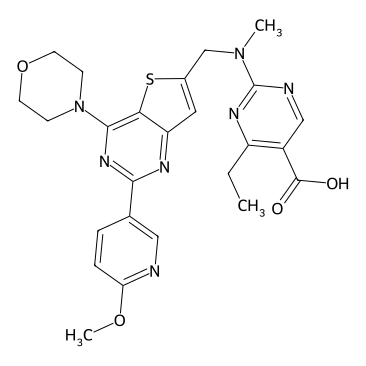 CCc1nc(N(C)Cc2cc3nc(-c4ccc(OC)nc4)nc(N4CCOCC4)c3s2)ncc1C(=O)O